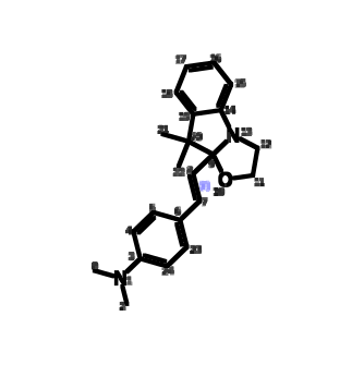 CN(C)c1ccc(/C=C/C23OCCN2c2ccccc2C3(C)C)cc1